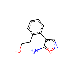 Nc1oncc1-c1ccccc1CCO